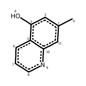 Cc1cc(O)c2cccnc2c1